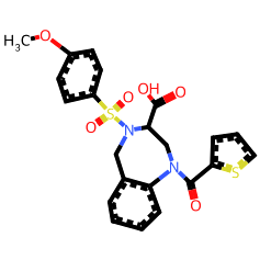 COc1ccc(S(=O)(=O)N2Cc3ccccc3N(C(=O)c3cccs3)CC2C(=O)O)cc1